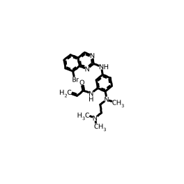 C=CC(=O)Nc1cc(Nc2ncc3cccc(Br)c3n2)ccc1N(C)CCN(C)C